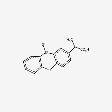 CC(C(=O)O)c1ccc2c(c1)[S+]([O-])c1ccccc1O2